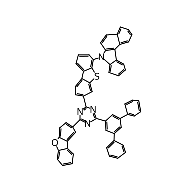 c1ccc(-c2cc(-c3ccccc3)cc(-c3nc(-c4ccc5c(c4)sc4c(-n6c7ccccc7c7c8ccccc8ccc76)cccc45)nc(-c4ccc5oc6ccccc6c5c4)n3)c2)cc1